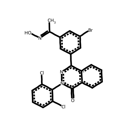 CC(=NO)c1cc(Br)cc(-c2nn(-c3c(Cl)cccc3Cl)c(=O)c3ccccc23)c1